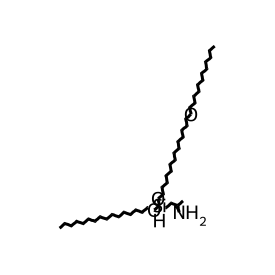 CCCCCCCCCCCCCCCCO[SiH](CCC(C)N)OCCCCCCCCCCCCCCOCCCCCCCCCCCC